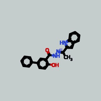 C/C(=N\NC(=O)c1cc(-c2ccccc2)ccc1O)c1cc2ccccc2[nH]1